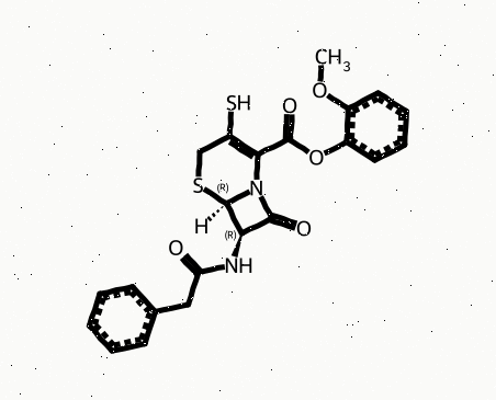 COc1ccccc1OC(=O)C1=C(S)CS[C@@H]2[C@H](NC(=O)Cc3ccccc3)C(=O)N12